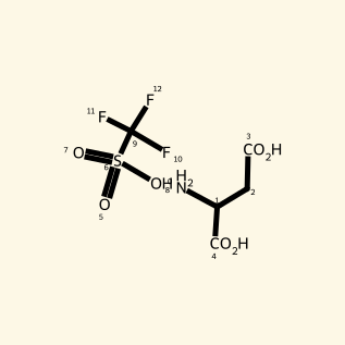 NC(CC(=O)O)C(=O)O.O=S(=O)(O)C(F)(F)F